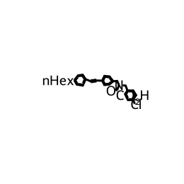 CCCCCCc1ccc(C#Cc2ccc(CN(Cc3ccc(Cl)cc3)C(=O)C(=O)O)cc2)cc1